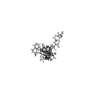 CC(C)[Si](C#Cc1c(F)ccc2cccc(-c3nc4c5c(nc(OCC6(CN7CCC8(CC7)CC8(F)F)CC6)nc5c3F)N3C[C@H]5CC[C@@H]([C@@H]3[C@@H](C)C4)N5C(=O)OC(C)(C)C)c12)(C(C)C)C(C)C